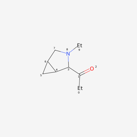 CCC(=O)C1C2CC2CN1CC